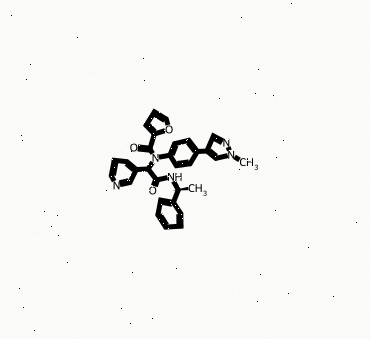 C[C@H](NC(=O)C(c1cccnc1)N(C(=O)c1ccco1)c1ccc(-c2cnn(C)c2)cc1)c1ccccc1